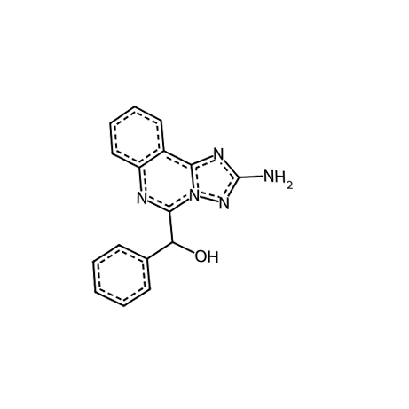 Nc1nc2c3ccccc3nc(C(O)c3ccccc3)n2n1